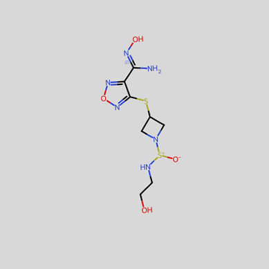 N/C(=N\O)c1nonc1SC1CN([S+]([O-])NCCO)C1